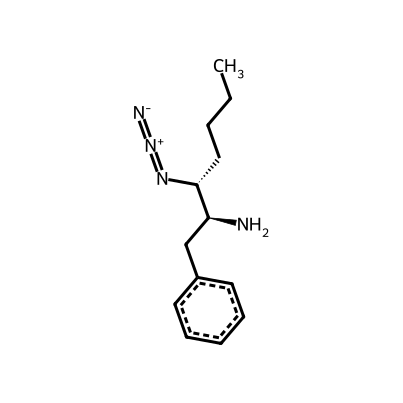 CCCC[C@@H](N=[N+]=[N-])[C@@H](N)Cc1ccccc1